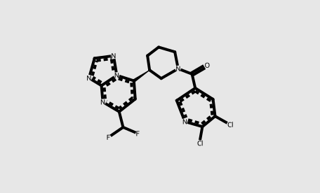 O=C(c1cnc(Cl)c(Cl)c1)N1CCC[C@H](c2cc(C(F)F)nc3ncnn23)C1